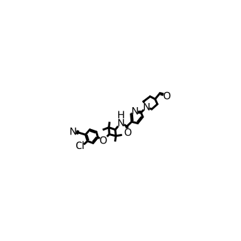 CC1(C)C(NC(=O)c2ccc(N3CCC(C=O)CC3)nc2)C(C)(C)C1Oc1ccc(C#N)c(Cl)c1